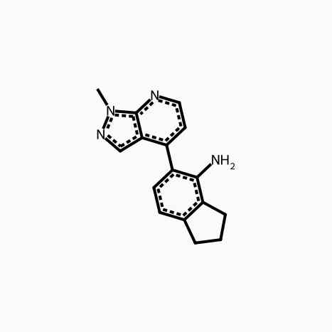 Cn1ncc2c(-c3ccc4c(c3N)CCC4)ccnc21